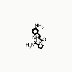 NC(=O)C1CCCN1C(=O)/C=C/c1cc(N)ccc1N